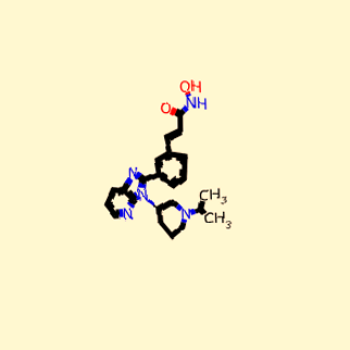 CC(C)N1CCC[C@@H](n2c(-c3cccc(C=CC(=O)NO)c3)nc3cccnc32)C1